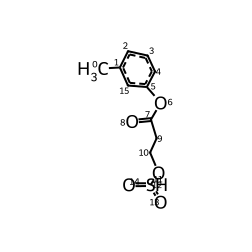 Cc1cccc(OC(=O)CCO[SH](=O)=O)c1